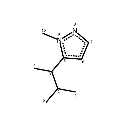 CC(C)C(C)c1ccnn1C